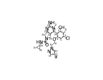 Cc1cc(Cl)cc(OCCn2cc(F)cn2)c1-c1nc(N)nc2c1CN(C(=O)NC1CC1)C2